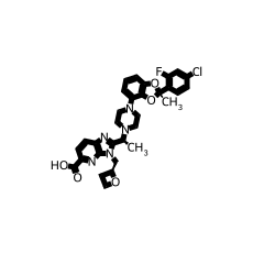 C[C@@H](c1nc2ccc(C(=O)O)nc2n1C[C@@H]1CCO1)N1CCN(c2cccc3c2O[C@](C)(c2ccc(Cl)cc2F)O3)CC1